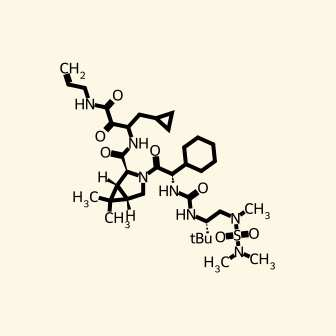 C=CCNC(=O)C(=O)C(CC1CC1)NC(=O)[C@@H]1[C@@H]2[C@H](CN1C(=O)[C@@H](NC(=O)N[C@H](CN(C)S(=O)(=O)N(C)C)C(C)(C)C)C1CCCCC1)C2(C)C